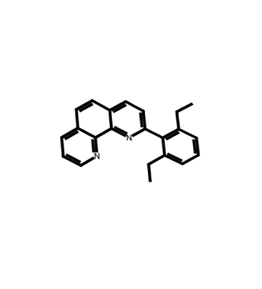 CCc1cccc(CC)c1-c1ccc2ccc3cccnc3c2n1